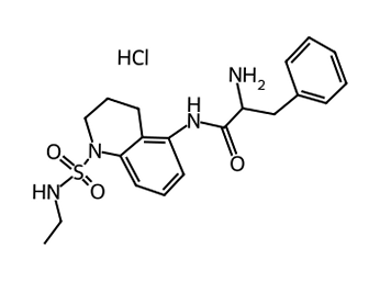 CCNS(=O)(=O)N1CCCc2c(NC(=O)C(N)Cc3ccccc3)cccc21.Cl